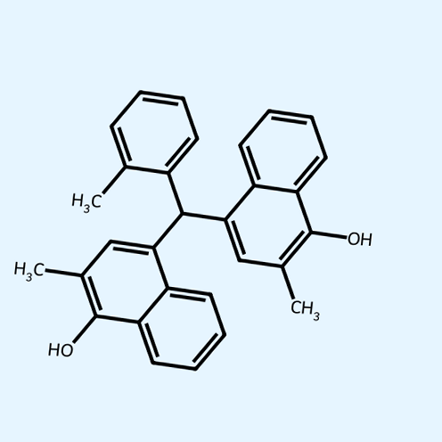 Cc1ccccc1C(c1cc(C)c(O)c2ccccc12)c1cc(C)c(O)c2ccccc12